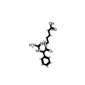 N=C(N)NC(C(=O)NCCCCC(=O)O)c1ccccc1